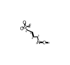 C=C=NC/C=C/CS(=O)(=O)F